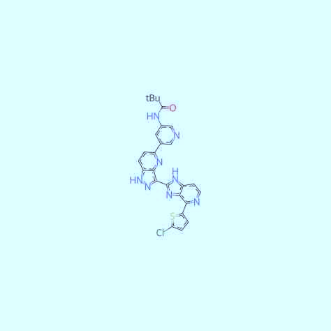 CC(C)(C)C(=O)Nc1cncc(-c2ccc3[nH]nc(-c4nc5c(-c6ccc(Cl)s6)nccc5[nH]4)c3n2)c1